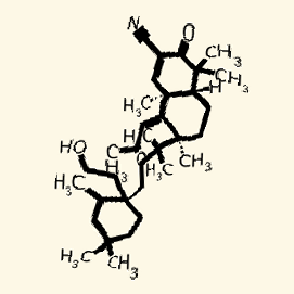 CC(=O)/C=C1/[C@@]2(C)C=C(C#N)C(=O)C(C)(C)[C@@H]2CC[C@@]1(C)C(C)(C)CC[C@@]1(CCO)CCC(C)(C)CC1C